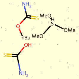 CCCCOC(N)=S.CO[SiH](OC)OC.NC(O)=S